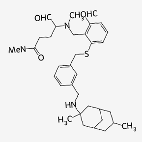 CNC(=O)CCC(C=O)N(C)Cc1c(C=O)cccc1SCc1cccc(CNC2(C)CC3CC(C)CC(C3)C2)c1